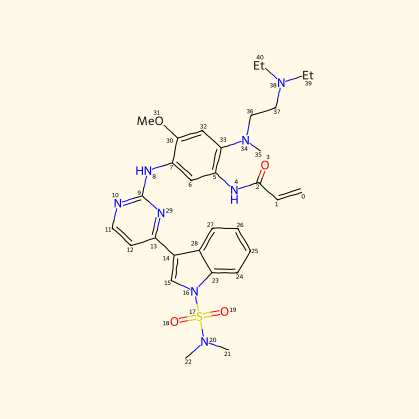 C=CC(=O)Nc1cc(Nc2nccc(-c3cn(S(=O)(=O)N(C)C)c4ccccc34)n2)c(OC)cc1N(C)CCN(CC)CC